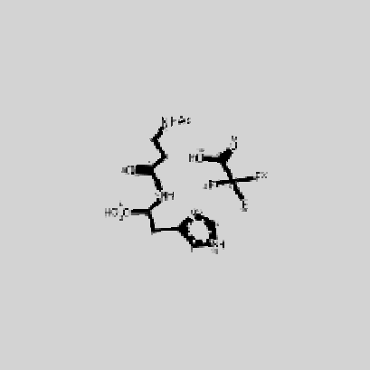 CC(=O)NCCC(=O)NC(Cc1c[nH]cn1)C(=O)O.O=C(O)C(F)(F)F